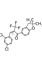 CC1(C)Cc2cc(C(=O)/C(=C\c3ccc(Cl)cc3Cl)C(F)(F)F)ccc2O1